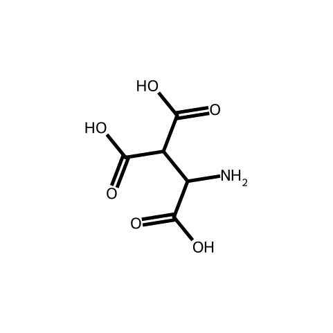 NC(C(=O)O)C(C(=O)O)C(=O)O